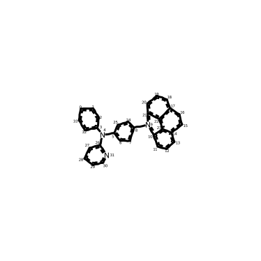 c1ccc(N(c2ccc(-n3c4cccc5ccc6cccc3c6c54)cc2)c2ccccn2)cc1